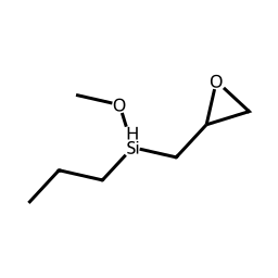 CCC[SiH](CC1CO1)OC